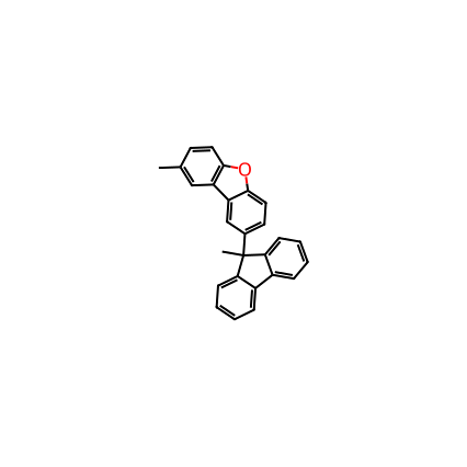 Cc1ccc2oc3ccc(C4(C)c5ccccc5-c5ccccc54)cc3c2c1